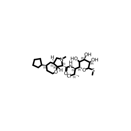 CSC1O[C@H]([C@H](NC(=O)[C@@H]2[C@@H]3OCC[C@@H](C4CCCC4)C[C@H]3CN2C)[C@H](C)Cl)C(O)[C@@H](O)[C@H]1O